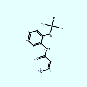 O=C(/C=N\O)Nc1ccccc1OC(F)(F)F